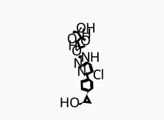 OC[C@@H]1C[C@H]1c1ccc(-c2nc3nc(O[C@@H]4CO[C@H]5[C@@H]4OC[C@H]5O)[nH]c3cc2Cl)cc1